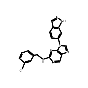 Clc1cccc(CNc2ncc3ncn(-c4ccc5cn[nH]c5c4)c3n2)c1